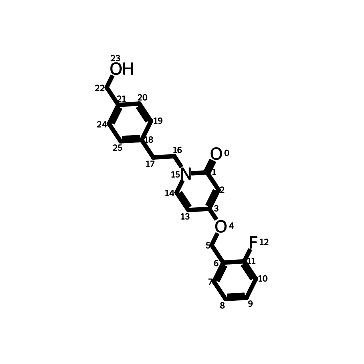 O=c1cc(OCc2ccccc2F)ccn1CCc1ccc(CO)cc1